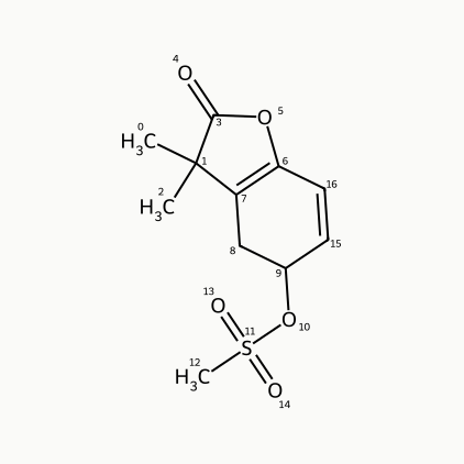 CC1(C)C(=O)OC2=C1CC(OS(C)(=O)=O)C=C2